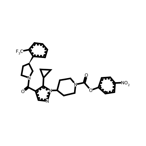 O=C(Oc1ccc([N+](=O)[O-])cc1)N1CCC(n2ncc(C(=O)N3CC[C@@H](c4ccccc4C(F)(F)F)C3)c2C2CC2)CC1